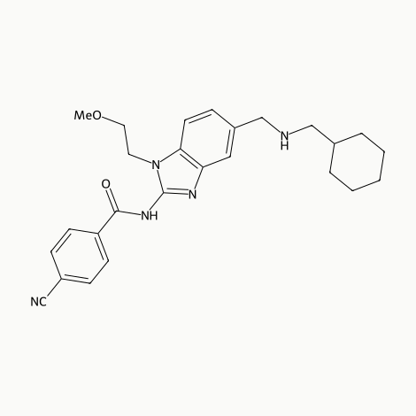 COCCn1c(NC(=O)c2ccc(C#N)cc2)nc2cc(CNCC3CCCCC3)ccc21